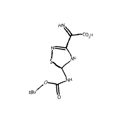 CC(C)(C)OC(=O)NC1NC(C(=N)C(=O)O)=NS1